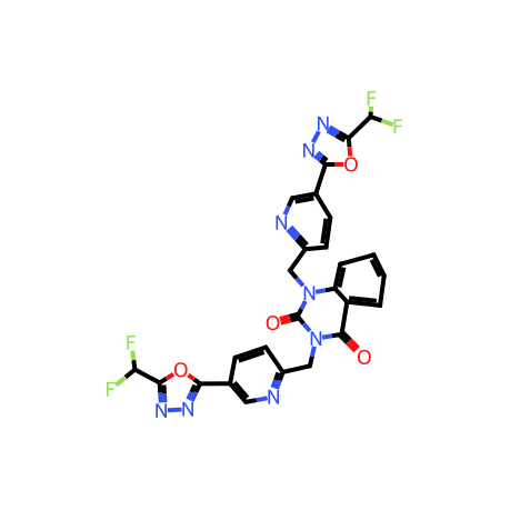 O=c1c2ccccc2n(Cc2ccc(-c3nnc(C(F)F)o3)cn2)c(=O)n1Cc1ccc(-c2nnc(C(F)F)o2)cn1